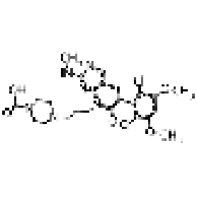 CNc1ncc2cc(-c3c(Cl)c(OC)cc(OC)c3Cl)c(=O)n(CCCN3CCN(C(=O)O)CC3)c2n1